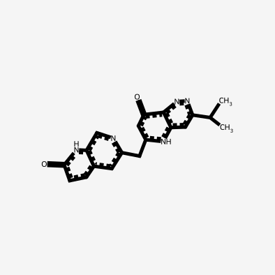 CC(C)c1cc2[nH]c(Cc3cc4ccc(=O)[nH]c4cn3)cc(=O)c2nn1